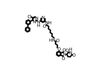 O=C(CCCOc1cccc2c1C(=O)N(C1CCC(=O)NC1=O)C2=O)NCCCCCCCC(=O)Nc1cncc(Nc2ncc(Cl)c(-c3cccc(-c4ccccc4)c3)n2)c1